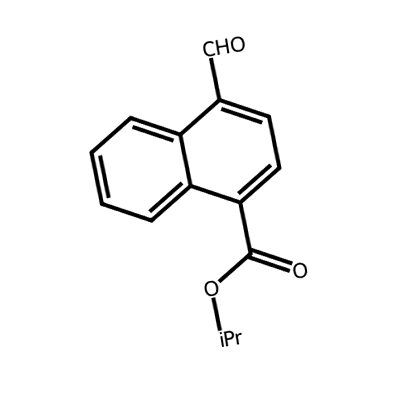 CC(C)OC(=O)c1ccc(C=O)c2ccccc12